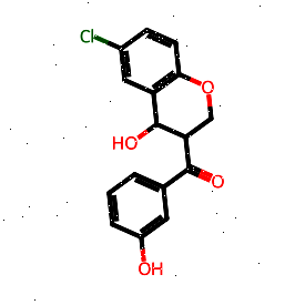 O=C(c1cccc(O)c1)C1COc2ccc(Cl)cc2C1O